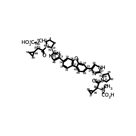 CN(C(=O)O)[C@H](C(=O)N1CCC[C@H]1c1nc(-c2ccc3c(c2)oc2cc(-c4c[nH]c([C@@H]5CCCN5C(=O)[C@H](C5CC5)N(C)C(=O)O)n4)ccc23)c[nH]1)C1CC1